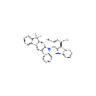 CC1(C)c2ccccc2-c2cc3c4ccccc4n(-c4c(C#N)cc(C#N)c5c4C(C)(C)c4ccccc4-5)c3cc21